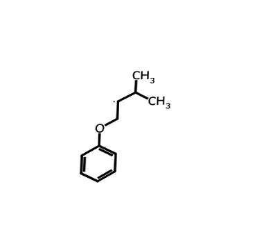 CC(C)[CH]COc1ccccc1